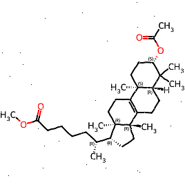 COC(=O)CCCC[C@@H](C)[C@H]1CC[C@@]2(C)C3=C(CC[C@]12C)[C@@]1(C)CC[C@H](OC(C)=O)C(C)(C)[C@@H]1CC3